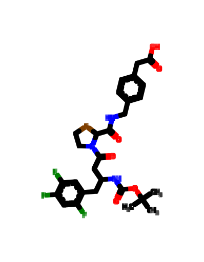 CC(C)(C)OC(=O)NC(CC(=O)N1CCSC1C(=O)NCc1ccc(CC(=O)O)cc1)Cc1cc(F)c(F)cc1F